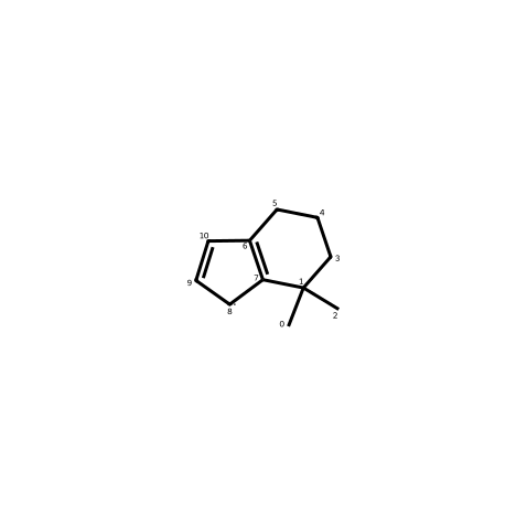 CC1(C)CCCC2=C1[CH]C=C2